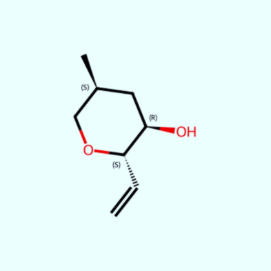 C=C[C@@H]1OC[C@@H](C)C[C@H]1O